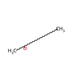 CCCCCCCCCCCCCCCCCCCCCCCCCCCC(=O)CCCCCCC